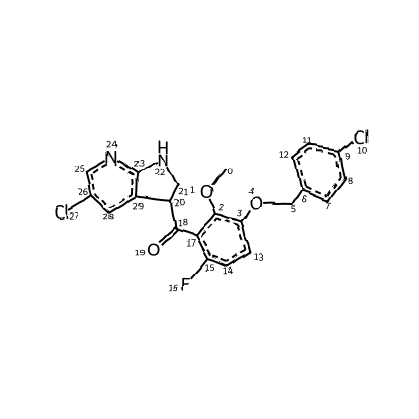 COc1c(OCc2ccc(Cl)cc2)ccc(F)c1C(=O)C1CNc2ncc(Cl)cc21